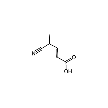 CC(C#N)/C=C/C(=O)O